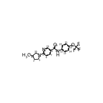 C[C@@H]1CCN(c2ccc(C(=O)Nc3ccc(OC(F)(F)I)cc3)cn2)C1